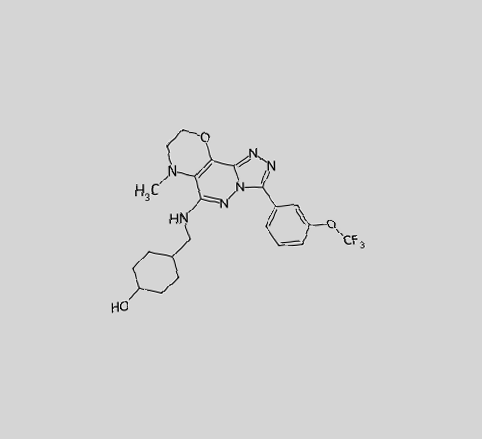 CN1CCOc2c1c(NCC1CCC(O)CC1)nn1c(-c3cccc(OC(F)(F)F)c3)nnc21